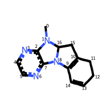 CN1c2nccnc2N2C3=C(CCC=C3)CC12